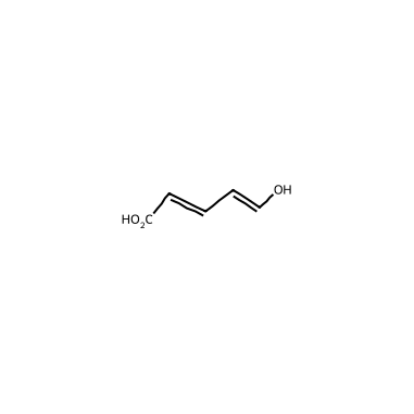 O=C(O)C=CC=CO